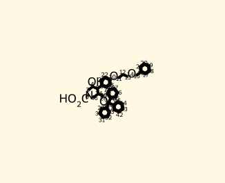 O=C(O)N1CC(O)C(c2ccc(OCCCOCc3ccccc3)cc2)C(COC(c2ccccc2)(c2ccccc2)c2ccccc2)C1